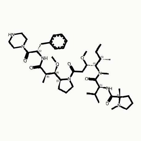 CC[C@H](C)[C@@H](C(CC(=O)N1CCC[C@H]1[C@H](OC)[C@@H](C)C(=O)N[C@@H](Cc1ccccc1)C(=O)N1CCNCC1)OC)N(C)C(=O)[C@@H](NC(=O)[C@]1(C)CCCN1C)C(C)C